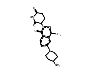 Cc1nn(C2CCC(=O)NC2=O)c(=O)c2ccc(N3CCC(N)CC3)cc12